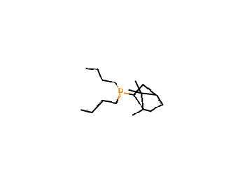 CCCCP(CCCC)C1CC2CCC1(C)C2(C)C